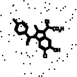 CCC(C(=O)O)c1c(C)n(C(=S)c2ccc(C)cc2)c2cc(Cl)c(O)cc12